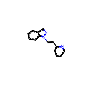 C(=C\n1ncc2ccccc21)/c1ccccn1